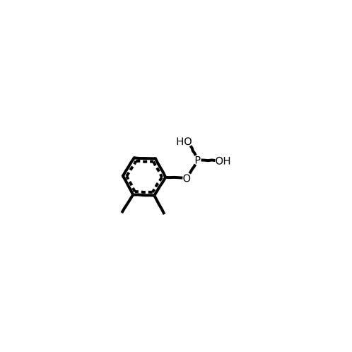 Cc1cccc(OP(O)O)c1C